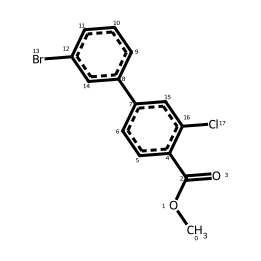 COC(=O)c1ccc(-c2cccc(Br)c2)cc1Cl